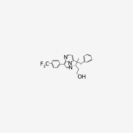 CC([CH]CCO)([CH]c1ccccc1)c1ccnc2c(-c3ccc(C(F)(F)F)cc3)cnn12